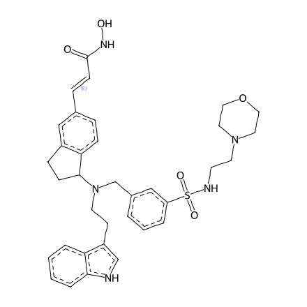 O=C(/C=C/c1ccc2c(c1)CCC2N(CCc1c[nH]c2ccccc12)Cc1cccc(S(=O)(=O)NCCN2CCOCC2)c1)NO